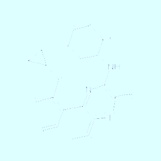 C=CC(=C(C)CC1CC1)C(=N/C(NC1CCCCC1)=C(C)C)/C(Cl)=C\C